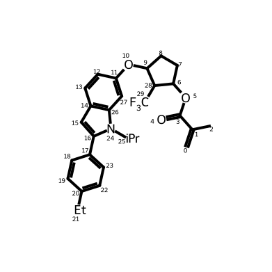 C=C(C)C(=O)OC1CCC(Oc2ccc3cc(-c4ccc(CC)cc4)n(C(C)C)c3c2)C1C(F)(F)F